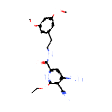 CCOc1nc(C(=O)NCCc2cc(OC)cc(OC)c2)cc(N)c1C#N